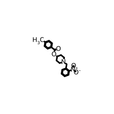 Cc1ccc(C(=O)OC2CCN(Cc3ccccc3[N+](=O)[O-])CC2)cc1